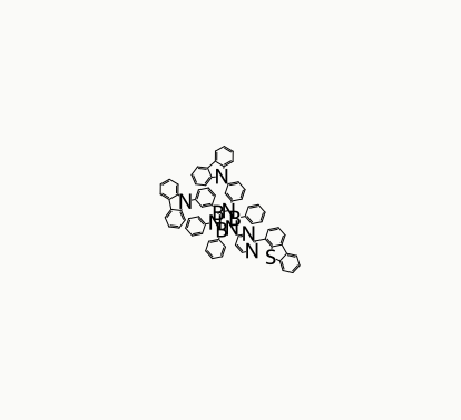 c1ccc(B2N(c3ccccc3)B(c3cccc(-n4c5ccccc5c5ccccc54)c3)N(c3cccc(-n4c5ccccc5c5ccccc54)c3)B(c3ccccc3)N2c2ccnc(-c3cccc4c3sc3ccccc34)n2)cc1